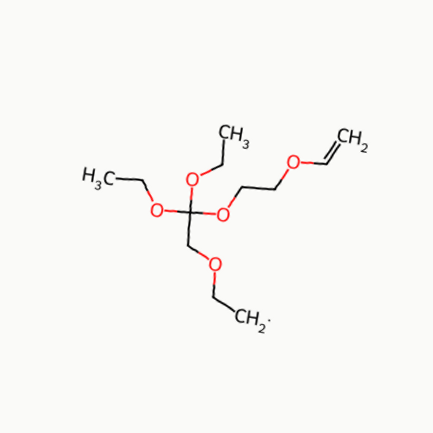 [CH2]COCC(OCC)(OCC)OCCOC=C